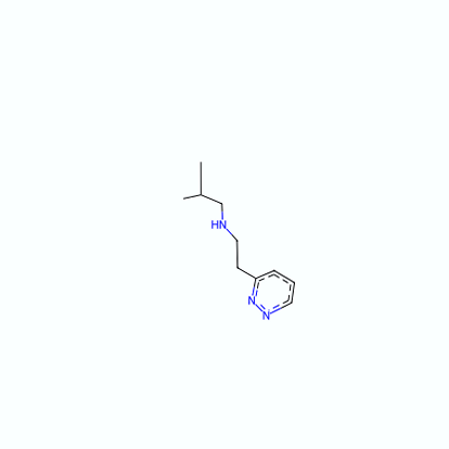 CC(C)CNCCc1cccnn1